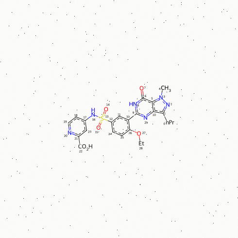 CCCc1nn(C)c2c(=O)[nH]c(-c3cc(S(=O)(=O)Nc4ccnc(C(=O)O)c4)ccc3OCC)nc12